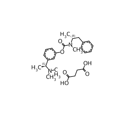 C[C@H](Cc1ccccc1)N(C)C(=O)Oc1cccc([C@H](C)N(C)C)c1.O=C(O)CCC(=O)O